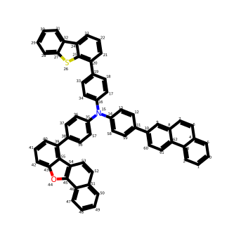 c1ccc2c(c1)ccc1cc(-c3ccc(N(c4ccc(-c5cccc6c5sc5ccccc56)cc4)c4ccc(-c5cccc6oc7c8ccccc8ccc7c56)cc4)cc3)ccc12